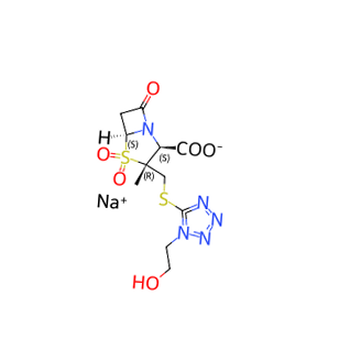 C[C@]1(CSc2nnnn2CCO)[C@H](C(=O)[O-])N2C(=O)C[C@@H]2S1(=O)=O.[Na+]